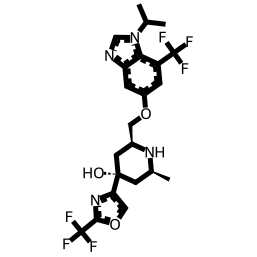 CC(C)n1cnc2cc(OC[C@@H]3C[C@](O)(c4coc(C(F)(F)F)n4)C[C@H](C)N3)cc(C(F)(F)F)c21